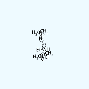 CCc1c(-c2cn(C)c(=O)c(Cl)c2C)[nH]c2ccc(C3CCN(CC(=O)N(C)C)CC3)cc12